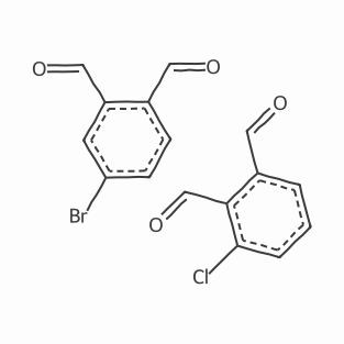 O=Cc1ccc(Br)cc1C=O.O=Cc1cccc(Cl)c1C=O